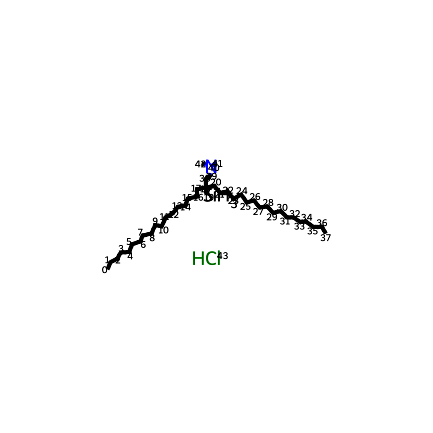 CCCCCCCCCCCCCCCCCCC([SiH3])(CCCCCCCCCCCCCCCCCC)CCN(C)C.Cl